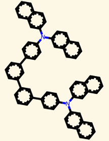 c1cc(-c2ccc(N(c3ccc4ccccc4c3)c3ccc4ccccc4c3)cc2)cc(-c2cccc(-c3ccc(N(c4ccc5ccccc5c4)c4ccc5ccccc5c4)cc3)c2)c1